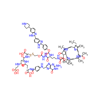 CC[C@H]1c2cc3[nH]c4c(c3C)C(=O)C(C(=O)OC)c4c3nc(cc4[nH]c(cc(n2)[C@@H]1C)c(C(C)=O)c4C)[C@@H](C)[C@@H]3CCC(=O)NCCCC(NC(=O)Oc1ccc(-c2nc3cc(-c4nc5ccc(C6CCNCC6)cc5[nH]4)ccc3[nH]2)cc1)C(=O)NNC(=O)OCCSSC[C@H](NC(=O)[C@H](CC(=O)NCCS(=O)(=O)O)NC(=O)CC[C@H](NC(=O)c1ccc(NCc2cnc3nc(N)[nH]c(=O)c3n2)cc1)C(=O)O)C(=O)O